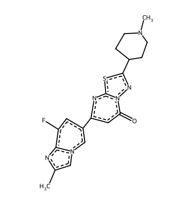 Cc1cn2cc(-c3cc(=O)n4nc(C5CCN(C)CC5)sc4n3)cc(F)c2n1